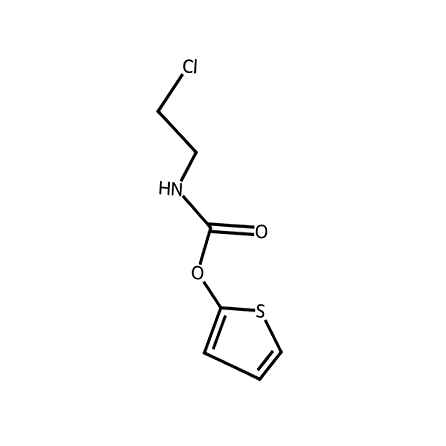 O=C(NCCCl)Oc1cccs1